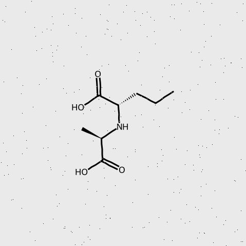 CCC[C@H](N[C@H](C)C(=O)O)C(=O)O